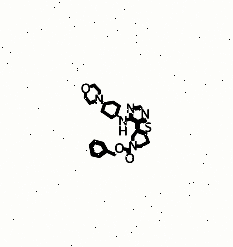 O=C(OCc1ccccc1)N1CCc2sc3ncnc(N[C@H]4CC[C@H](N5CCOCC5)CC4)c3c2C1